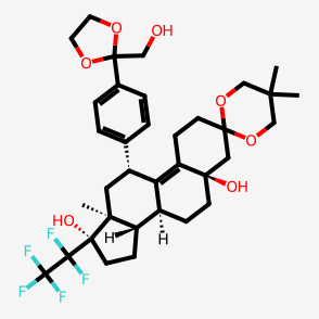 CC1(C)COC2(CCC3=C4[C@@H](CC[C@@]3(O)C2)[C@@H]2CC[C@@](O)(C(F)(F)C(F)(F)F)[C@@]2(C)C[C@@H]4c2ccc(C3(CO)OCCO3)cc2)OC1